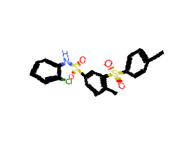 Cc1ccc(S(=O)(=O)c2cc(S(=O)(=O)Nc3ccccc3Cl)ccc2C)cc1